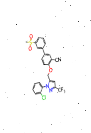 CS(=O)(=O)c1cccc(-c2ccc(OCc3cc(C(F)(F)F)nn3-c3ccccc3Cl)c(C#N)c2)c1